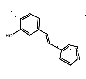 Oc1cccc(C=Cc2ccncc2)c1